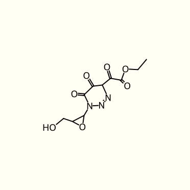 CCOC(=O)C(=O)C1N=NN(C2OC2CO)C(=O)C1=O